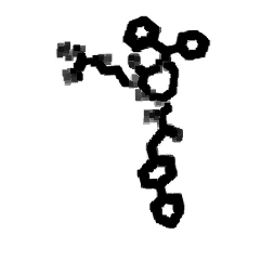 N=C(N)NCCC[C@H]1N[C@@H](CNC(=O)Cc2ccc(-c3ccccc3)cc2)CCN(C(c2ccccc2)c2ccccc2)C1=O